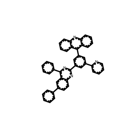 c1ccc(-c2ccc3nc(-c4cc(-c5ccccn5)cc(-c5c6ccccc6nc6ccccc56)c4)nc(-c4ccccc4)c3c2)cc1